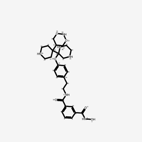 O=C(NO)c1cccc(C(=O)NCCc2ccc(OC3(C4(C5CONOC5)CCNCC4)CNCCN3)cc2)c1